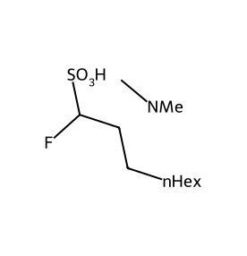 CCCCCCCCC(F)S(=O)(=O)O.CNC